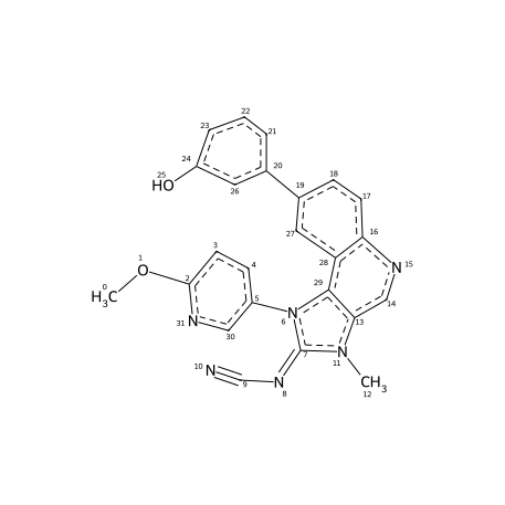 COc1ccc(-n2c(=NC#N)n(C)c3cnc4ccc(-c5cccc(O)c5)cc4c32)cn1